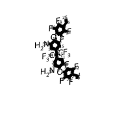 C=Cc1c(F)c(F)c(Oc2ccc(C(c3ccc(Oc4c(F)c(F)c(C=C)c(F)c4F)c(N)c3)(C(F)(F)F)C(F)(F)F)cc2N)c(F)c1F